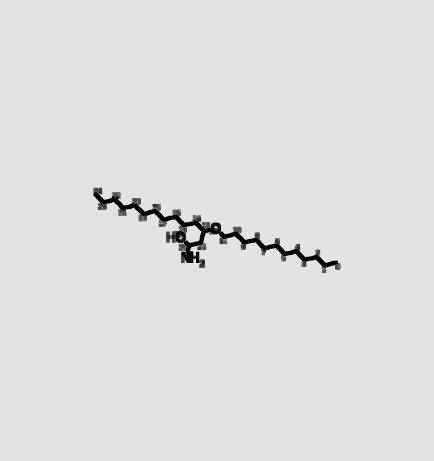 CCCCCCCCCCCCOC(CCCCCCCCCCC)CC(N)O